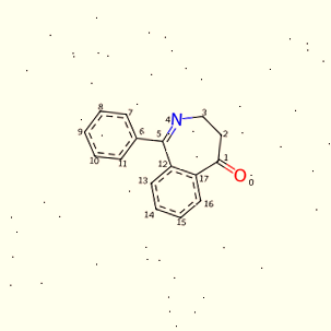 O=C1CCN=C(c2ccccc2)c2ccccc21